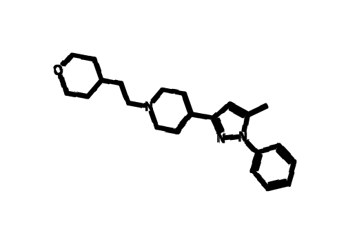 Cc1cc(C2CCN(CCC3CCOCC3)CC2)nn1-c1ccccc1